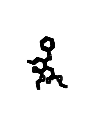 C/C=C/C(Sc1ccccc1)=C(/CC(=O)OCC)C(=O)OCC